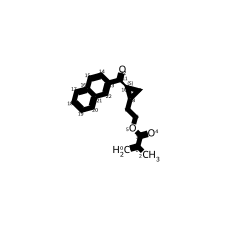 C=C(C)C(=O)OCCC1C[C@@H]1C(=O)c1ccc2ccccc2c1